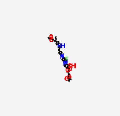 C=CC(=O)OCCC(CCC)c1ccc(NCCCc2ccc(/N=N/c3ccc(/N=N/c4ccc(C(=O)OCCCCOC(=O)C(=C)C)c(O)c4)c(F)c3)cc2)cc1